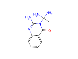 CC(N)(N)n1c(N)nc2ccccc2c1=O